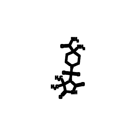 CC1(C)C(=O)NC(=O)N1S(=O)(=O)N1CCC(N)(C(N)=O)CC1